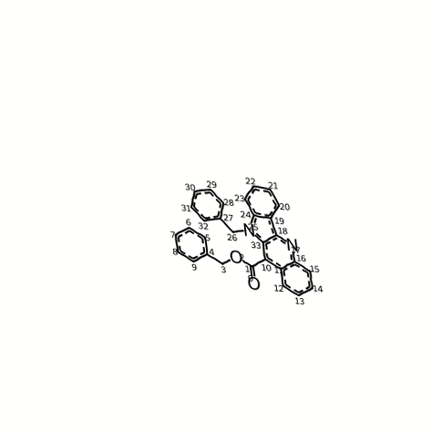 O=C(OCc1ccccc1)c1c2ccccc2nc2c3ccccc3n(Cc3ccccc3)c12